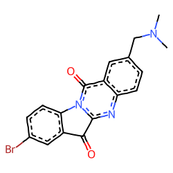 CN(C)Cc1ccc2nc3n(c(=O)c2c1)-c1ccc(Br)cc1C3=O